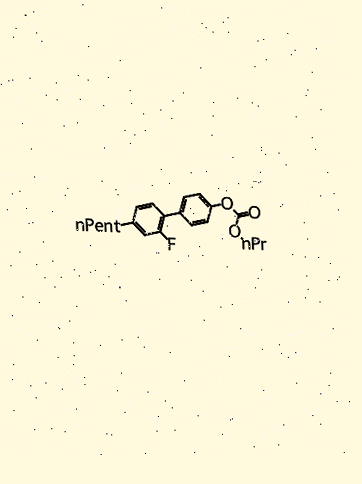 CCCCCc1ccc(-c2ccc(OC(=O)OCCC)cc2)c(F)c1